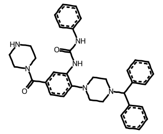 O=C(Nc1ccccc1)Nc1cc(C(=O)N2CCNCC2)ccc1N1CCN(C(c2ccccc2)c2ccccc2)CC1